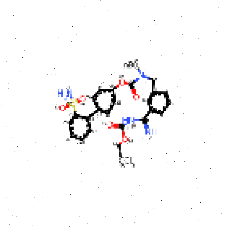 CCCCN(Cc1cccc(C(=N)NC(=O)OCC(Cl)(Cl)Cl)c1)C(=O)Oc1ccc(-c2ccccc2S(N)(=O)=O)cc1